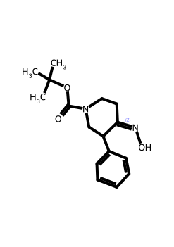 CC(C)(C)OC(=O)N1CC/C(=N/O)C(c2ccccc2)C1